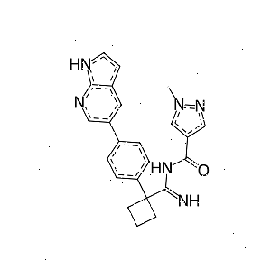 Cn1cc(C(=O)NC(=N)C2(c3ccc(-c4cnc5[nH]ccc5c4)cc3)CCC2)cn1